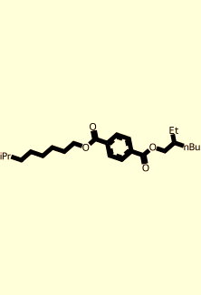 CCCCC(CC)COC(=O)c1ccc(C(=O)OCCCCCCC(C)C)cc1